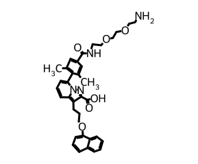 Cc1cc(C(=O)NCCOCCOCCN)cc(C)c1-c1cccc2c(CCCOc3cccc4ccccc34)c(C(=O)O)nn12